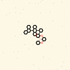 c1ccc2c(c1)Oc1cccc3c1B2c1cccc(-c2ccccc2-c2c4ccccc4c(-c4cc5ccccc5c5ccccc45)c4ccccc24)c1O3